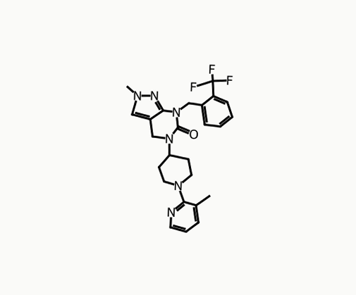 Cc1cccnc1N1CCC(N2Cc3cn(C)nc3N(Cc3ccccc3C(F)(F)F)C2=O)CC1